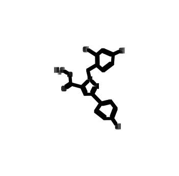 COC(=O)c1cc(-c2ccc(Cl)cc2)nn1Cc1ccc(Cl)cc1Cl